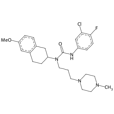 COc1ccc2c(c1)CCC(N(CCCN1CCN(C)CC1)C(=O)Nc1ccc(F)c(Cl)c1)C2